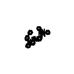 c1ccc(-c2cccc(-n3c4ccccc4c4ccc5c(ccn5-c5cccc(-c6nc(-c7ccccc7)nc(-c7ccccc7)n6)c5)c43)c2)cc1